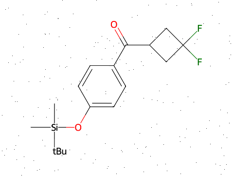 CC(C)(C)[Si](C)(C)Oc1ccc(C(=O)C2CC(F)(F)C2)cc1